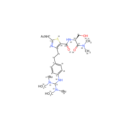 CC(=O)Nc1nc(CCc2ccc(NC(N(C(=O)O)C(C)(C)C)N(C(=O)O)C(C)(C)C)cc2)c(C(=O)N[C@@H](CO)C(=O)N(C)C)s1